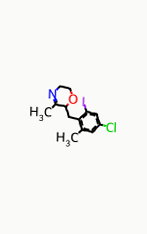 CC1=NCCOC1Cc1c(C)cc(Cl)cc1I